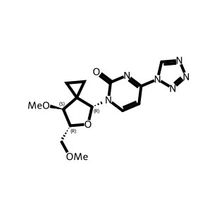 COC[C@H]1O[C@@H](n2ccc(-n3cnnn3)nc2=O)C2(CC2)[C@@H]1OC